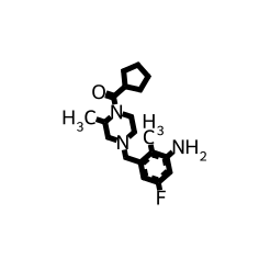 Cc1c(N)cc(F)cc1CN1CCN(C(=O)C2CCCC2)C(C)C1